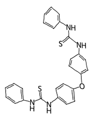 S=C(Nc1ccccc1)Nc1ccc(Oc2ccc(NC(=S)Nc3ccccc3)cc2)cc1